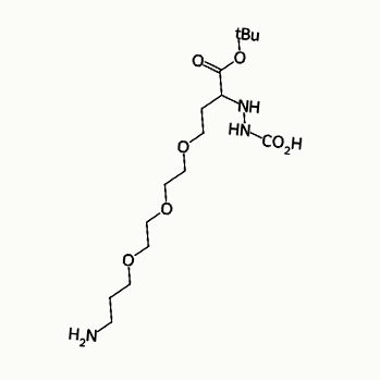 CC(C)(C)OC(=O)C(CCOCCOCCOCCCN)NNC(=O)O